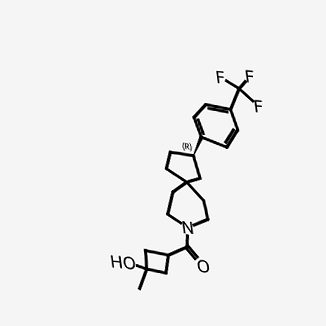 CC1(O)CC(C(=O)N2CCC3(CC[C@@H](c4ccc(C(F)(F)F)cc4)C3)CC2)C1